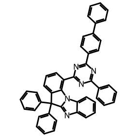 c1ccc(-c2ccc(-c3nc(-c4ccccc4)nc(-c4cccc5c4-n4c(nc6ccccc64)C5(c4ccccc4)c4ccccc4)n3)cc2)cc1